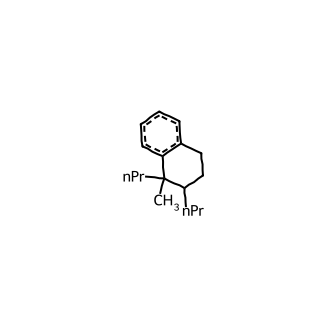 CCCC1CCc2ccccc2C1(C)CCC